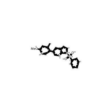 COc1cc(C)c(-c2cnc3c(ccn3S(=O)(=O)c3ccccc3)c2)cn1